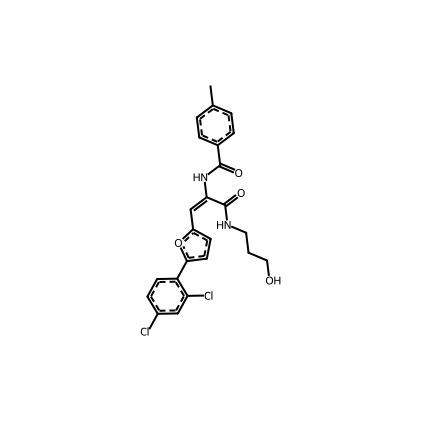 Cc1ccc(C(=O)N/C(=C/c2ccc(-c3ccc(Cl)cc3Cl)o2)C(=O)NCCCO)cc1